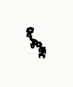 O=C1c2cc(-c3nnc(C(F)F)o3)ccc2CN1CCOc1ccccc1